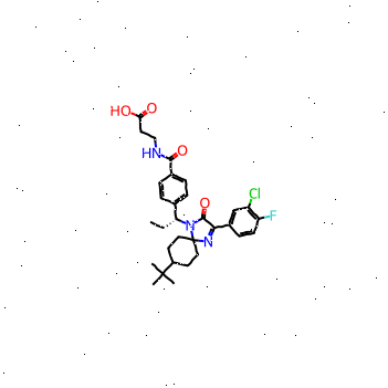 CC[C@H](c1ccc(C(=O)NCCC(=O)O)cc1)N1C(=O)C(c2ccc(F)c(Cl)c2)=NC12CCC(C(C)(C)C)CC2